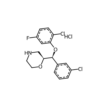 Cl.Fc1ccc(Cl)c(O[C@@H](c2cccc(Cl)c2)[C@@H]2CNCCO2)c1